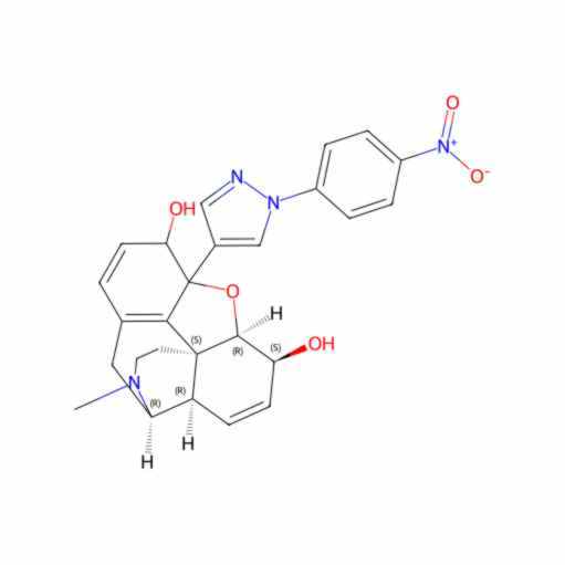 CN1CC[C@]23C4=C5C=CC(O)C4(c4cnn(-c6ccc([N+](=O)[O-])cc6)c4)O[C@H]2[C@@H](O)C=C[C@H]3[C@H]1C5